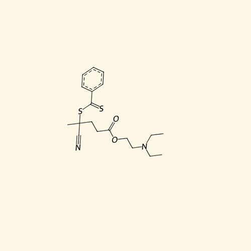 CCN(CC)CCOC(=O)CCC(C)(C#N)SC(=S)c1ccccc1